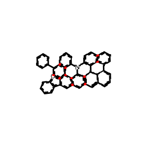 C1=CC2=CC=CC(c3ccccc3N(c3ccccc3-c3ccc(-c4ccccc4)cc3)c3ccccc3-c3cccc4c3oc3ccccc34)C2C(c2ccccc2)=C1